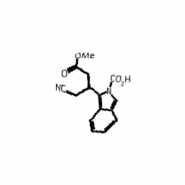 COC(=O)CC(CC#N)c1c2ccccc2cn1C(=O)O